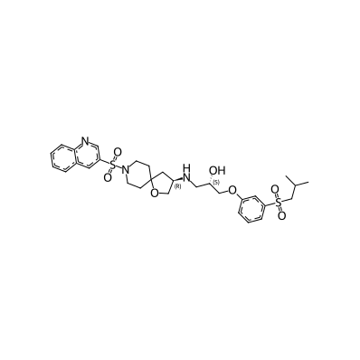 CC(C)CS(=O)(=O)c1cccc(OC[C@@H](O)CN[C@H]2COC3(CCN(S(=O)(=O)c4cnc5ccccc5c4)CC3)C2)c1